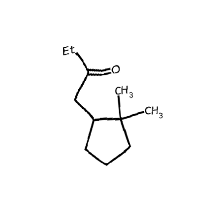 CCC(=O)CC1CCCC1(C)C